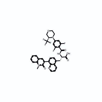 Cn1c(=O)c(-c2ccc(C[C@H](NC(=O)c3c(F)cc(N4CCOC[C@@H]4C(F)(F)F)cc3F)C(=O)O)c3cccnc23)cc2ccccc21